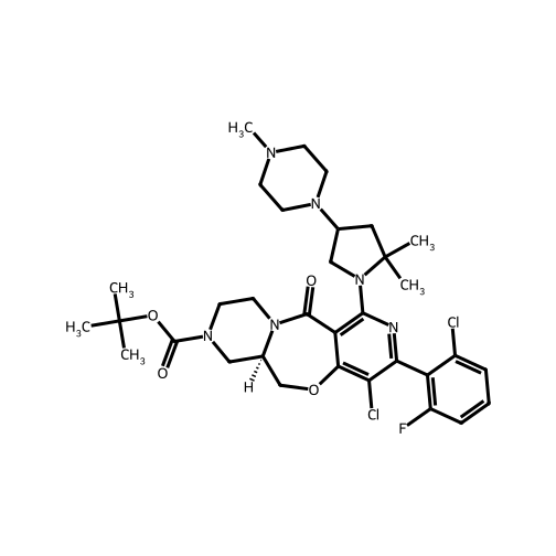 CN1CCN(C2CN(c3nc(-c4c(F)cccc4Cl)c(Cl)c4c3C(=O)N3CCN(C(=O)OC(C)(C)C)C[C@@H]3CO4)C(C)(C)C2)CC1